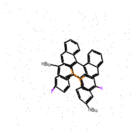 CCCCc1ccc(P(c2ccc(CCCC)cc2)c2ccc3ccccc3c2-c2c(P(c3ccc(I)cc3)c3ccc(I)cc3)ccc3ccccc23)cc1